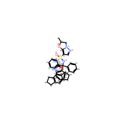 CC1Cn2ncc(S(=O)(=NC(c3ccccc3)(c3ccccc3)c3ccccc3)NC(=O)Nc3c4c(cc5c3CCC5)CCC4)c2O1